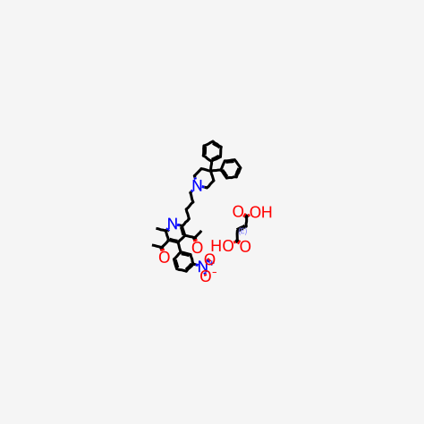 CC(=O)c1c(C)nc(CCCCN2CCC(c3ccccc3)(c3ccccc3)CC2)c(C(C)=O)c1-c1cccc([N+](=O)[O-])c1.O=C(O)/C=C/C(=O)O